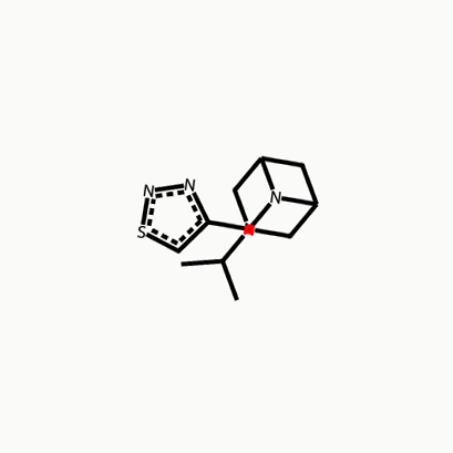 CC(C)N1CC2CC(C1)N2Cc1csnn1